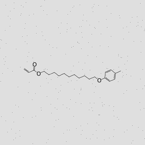 C=CC(=O)OCCCCCCCCCCCOc1ccc(C)cc1